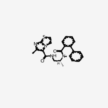 Cc1nc2sccn2c1C(=O)NC[C@@H](C)N(C)C(=O)c1ccccc1-c1ccccc1